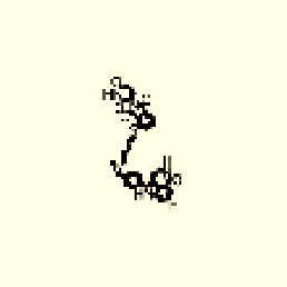 CN(CCCCCSc1cccc2c1C(=O)N(C1CCC(=O)NC1=O)C2=O)Cc1ccc(-c2[nH]c3cc(F)cc4c3c2CCNC4=O)cc1